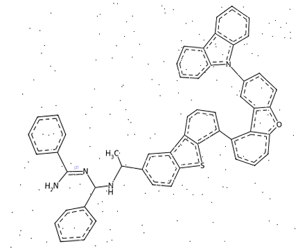 CC(NC(/N=C(\N)c1ccccc1)c1ccccc1)c1ccc2sc3c(-c4cccc5oc6ccc(-n7c8ccccc8c8ccccc87)cc6c45)cccc3c2c1